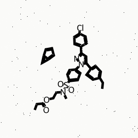 CCC(=O)OCCN(C)S(=O)(=O)c1ccc(-n2nc(-c3ccc(Cl)cc3)cc2-c2ccc(CC)cc2)cc1.c1cc2cc-2c1